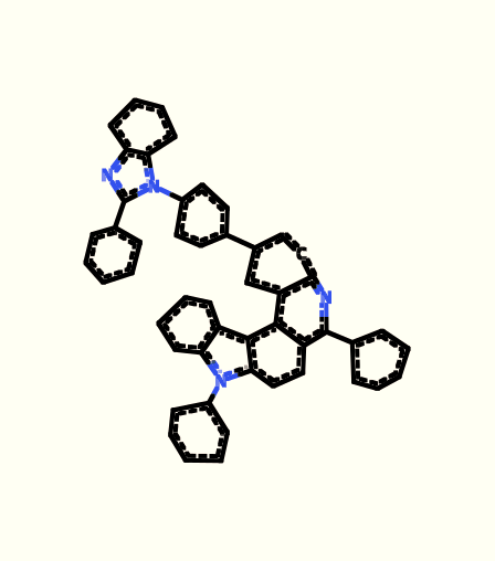 c1ccc(-c2nc3ccc(-c4ccc(-n5c(-c6ccccc6)nc6ccccc65)cc4)cc3c3c2ccc2c3c3ccccc3n2-c2ccccc2)cc1